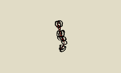 C=C(C)C(=O)OCCCCCCOc1ccc(C(=O)Oc2ccc(OC(=O)/C=C/c3ccc4cc(OC(=O)C(C)C)ccc4c3)c(C)c2)cc1